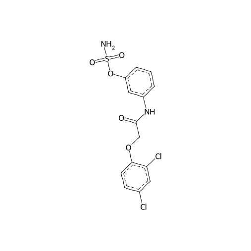 NS(=O)(=O)Oc1cccc(NC(=O)COc2ccc(Cl)cc2Cl)c1